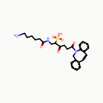 NCCCCCC(=O)NCC(C(=O)CCC(=O)N1Cc2ccccc2/C=C\c2ccccc21)S(=O)(=O)O